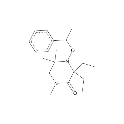 CCC1(CC)C(=O)N(C)CC(C)(C)N1OC(C)c1ccccc1